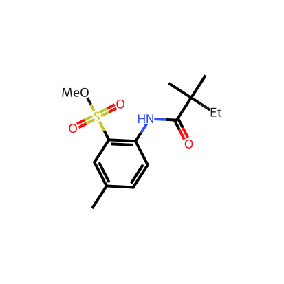 CCC(C)(C)C(=O)Nc1ccc(C)cc1S(=O)(=O)OC